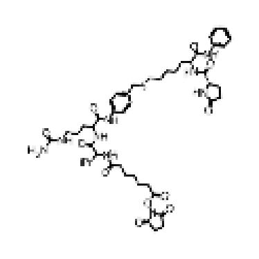 CC(C)C(NC(=O)CCCCCC(=O)ON1C(=O)CCC1=O)C(=O)NC(CCCNC(N)=O)C(=O)Nc1ccc(CSCCCCCC(NC(=O)[C@H]2CCC(=O)N2)C(=O)Nc2ccccc2)cc1